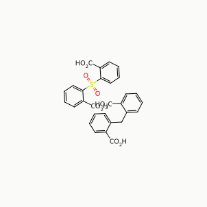 O=C(O)c1ccccc1Cc1ccccc1C(=O)O.O=C(O)c1ccccc1S(=O)(=O)c1ccccc1C(=O)O